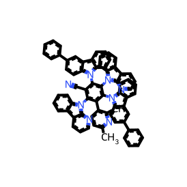 Cc1ccc(-c2c(-n3c4ccccc4c4cc(-c5ccccc5)ccc43)c(-n3c4ccccc4c4cccnc43)c(-n3c4ccccc4c4cc(-c5ccccc5)ccc43)c(C#N)c2-n2c3ccccc3c3cccnc32)c(C)n1